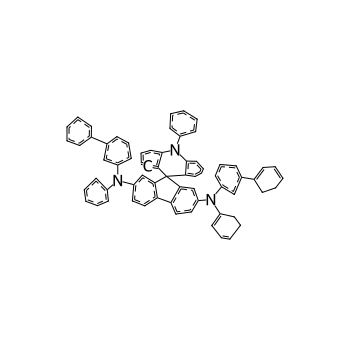 C1=CCCC(c2cccc(N(C3=CC=CCC3)c3ccc4c(c3)C3(c5cc(N(c6ccccc6)c6cccc(-c7ccccc7)c6)ccc5-4)c4ccccc4N(c4ccccc4)c4ccccc43)c2)=C1